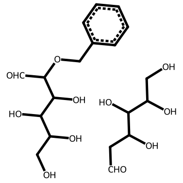 O=CC(OCc1ccccc1)C(O)C(O)C(O)CO.O=CCC(O)C(O)C(O)CO